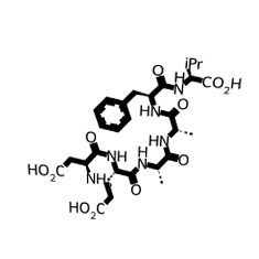 CC(C)[C@H](NC(=O)[C@H](Cc1ccccc1)NC(=O)[C@H](C)NC(=O)[C@H](C)NC(=O)[C@H](CCC(=O)O)NC(=O)[C@@H](N)CC(=O)O)C(=O)O